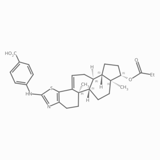 CCC(=O)O[C@H]1CC[C@H]2[C@@H]3CC=C4c5sc(Nc6ccc(C(=O)O)cc6)nc5CC[C@]4(C)[C@H]3CC[C@]12C